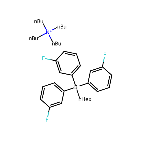 CCCCCC[B-](c1cccc(F)c1)(c1cccc(F)c1)c1cccc(F)c1.CCCC[N+](CCCC)(CCCC)CCCC